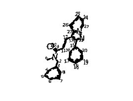 CN(Cc1ccccc1)C(=O)C=Cc1c(-c2ccccc2)nn2ccccc12